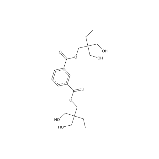 CCC(CO)(CO)COC(=O)c1cccc(C(=O)OCC(CC)(CO)CO)c1